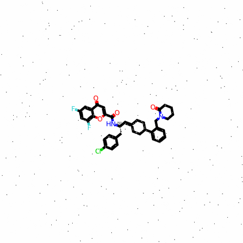 O=C(N[C@H](C=C1CCC(c2ccccc2CN2CCCCC2=O)CC1)Cc1ccc(Cl)cc1)c1cc(=O)c2cc(F)cc(F)c2o1